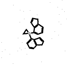 C1=Cc2c(ccc[c]2[Zr]2([c]3cccc4c3C=CC4)[CH2][CH2]2)C1